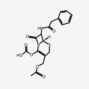 CC(=O)OCC1=C(OC(=O)O)N2C(=O)C(NC(=O)Cc3ccccc3)[C@@H]2SC1